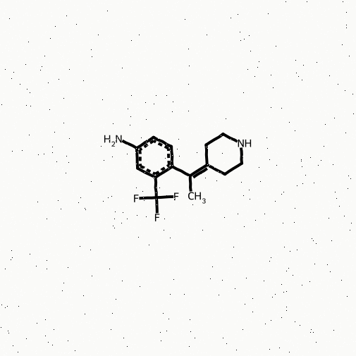 CC(=C1CCNCC1)c1ccc(N)cc1C(F)(F)F